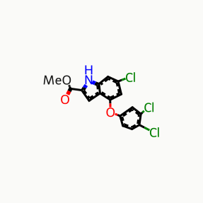 COC(=O)c1cc2c(Oc3ccc(Cl)c(Cl)c3)cc(Cl)cc2[nH]1